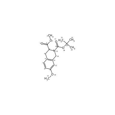 COC(=O)C1Cc2ccc(OC)cc2CN1C(=O)OC(C)(C)C